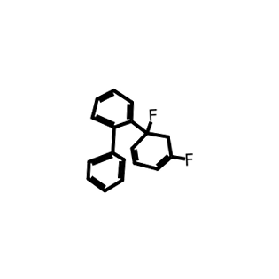 FC1=CC=CC(F)(c2ccccc2-c2ccccc2)C1